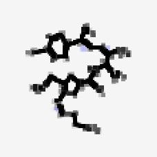 C=CC1=C(/N=C\CCC)CN(C(=O)NC(=C)/C(N)=C\C=C(/C)c2ccc(F)cc2)C1